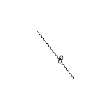 CCCCCCCCC=CCCCCCCCCCC(=O)OCCCCCCCCCCCC